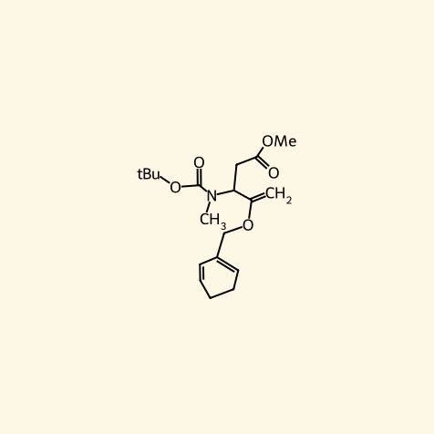 C=C(OCC1=CCCC=C1)C(CC(=O)OC)N(C)C(=O)OC(C)(C)C